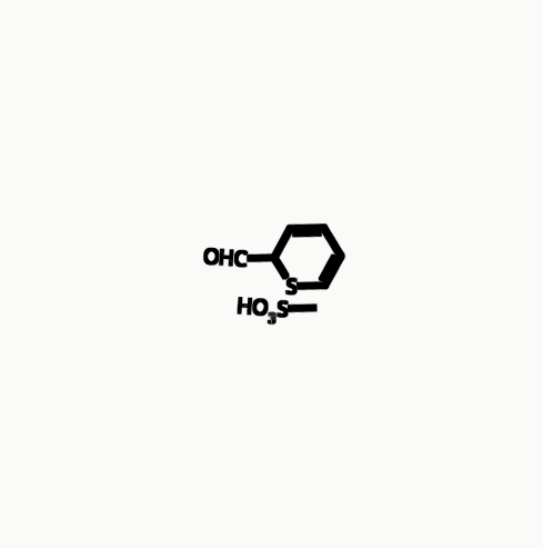 CS(=O)(=O)O.O=CC1C=CC=CS1